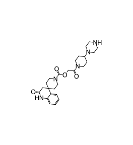 O=C1CC2(CCN(C(=O)OCC(=O)N3CCC(N4CCNCC4)CC3)CC2)c2ccccc2N1